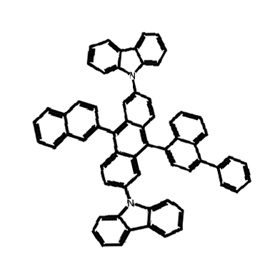 c1ccc(-c2ccc(-c3c4ccc(-n5c6ccccc6c6ccccc65)cc4c(-c4ccc5ccccc5c4)c4ccc(-n5c6ccccc6c6ccccc65)cc34)c3ccccc23)cc1